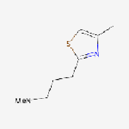 CNCCCc1nc(C)cs1